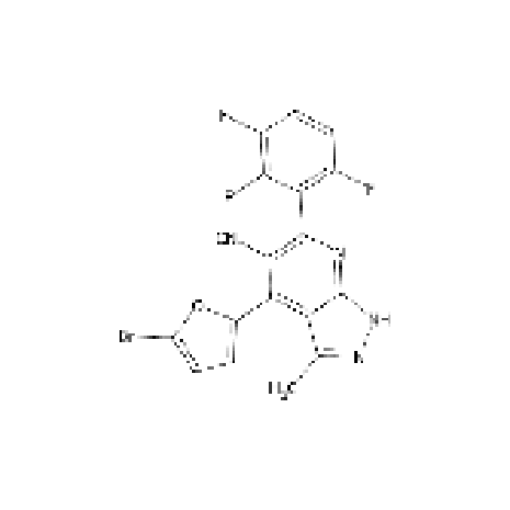 [C-]#[N+]c1c(-c2c(F)ccc(F)c2F)nc2[nH]nc(C)c2c1-c1ccc(Br)o1